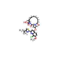 COc1ccc2c(OC3CC4C(=O)NC5(C(=O)O)CC5/C=C\CCCCCC(=O)N4C3)cc(-c3nc(C(C)C)cs3)nc2c1Cl